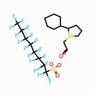 O=CC[S+]1CCCC1C1CCCCC1.O=S(=O)([O-])C(F)(F)C(F)(F)C(F)(F)C(F)(F)C(F)(F)C(F)(F)C(F)(F)C(F)(F)F